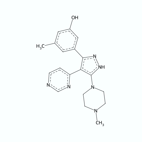 Cc1cc(O)cc(-c2n[nH]c(N3CCN(C)CC3)c2-c2ccncn2)c1